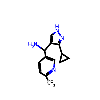 NC(c1ccc(C(F)(F)F)nc1)c1c[nH]nc1C1CC1